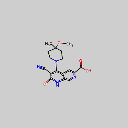 COC1(C)CCN(c2c(C#N)c(=O)[nH]c3cnc(C(=O)O)cc23)CC1